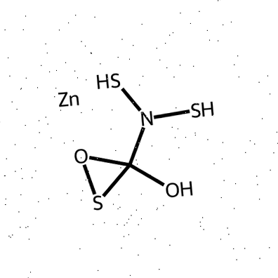 OC1(N(S)S)OS1.[Zn]